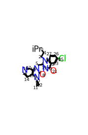 CC(C)CCn1c(Cn2c(=O)n(C3CC3)c3ccncc32)nc(=O)c2cc(Cl)ccc21